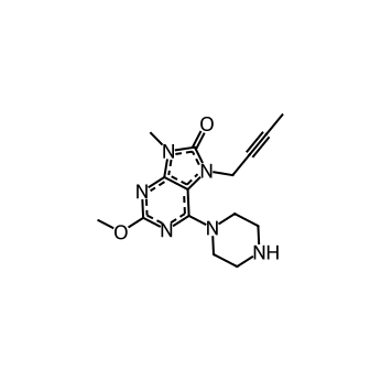 CC#CCn1c(=O)n(C)c2nc(OC)nc(N3CCNCC3)c21